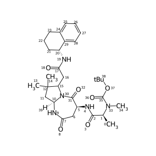 C[C@@H](C(=O)N[C@H]1CC(=O)N[C@H]2CC(C)(C)C(CC(=O)N[C@@H]3CCCc4ccccc43)N2C1=O)N(C)C(=O)OC(C)(C)C